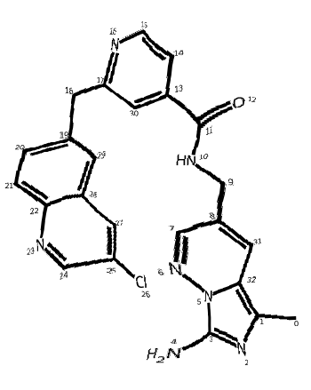 Cc1nc(N)n2ncc(CNC(=O)c3ccnc(Cc4ccc5ncc(Cl)cc5c4)c3)cc12